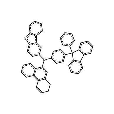 C1=Cc2c(cc(N(c3ccc(C4(c5ccccc5)c5ccccc5-c5ccccc54)cc3)c3ccc4sc5ccccc5c4c3)c3ccccc23)CC1